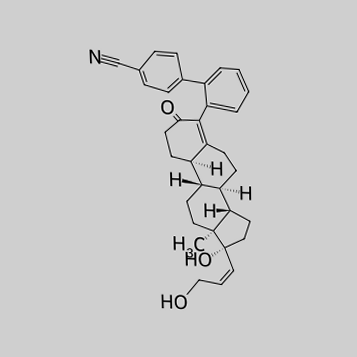 C[C@]12CC[C@H]3[C@@H](CCC4=C(c5ccccc5-c5ccc(C#N)cc5)C(=O)CC[C@@H]43)[C@@H]1CC[C@@]2(O)/C=C\CO